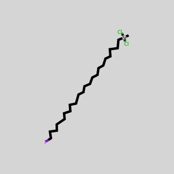 C[Si](Cl)(Cl)CCCCCCCCCCCCCCCCCCCCCCI